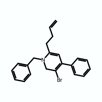 C=CCCC1=CC(c2ccccc2)=C(Br)CN1Cc1ccccc1